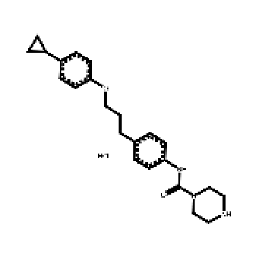 Cl.O=C(Nc1ccc(CCCOc2ccc(C3CC3)cc2)cc1)N1CCNCC1